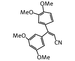 COc1cc(OC)cc(/C(=C\C#N)c2ccc(OC)c(OC)c2)c1